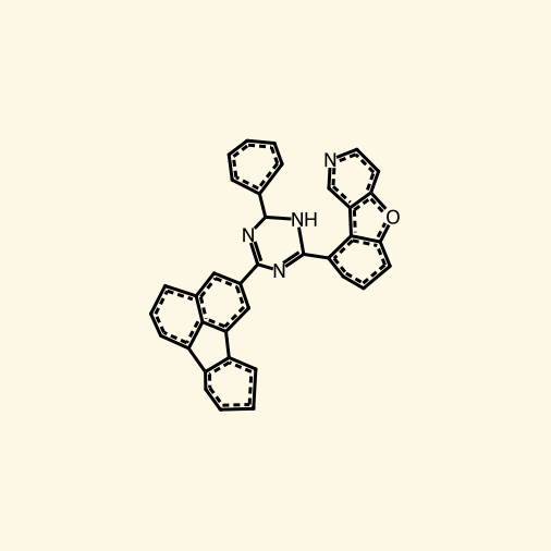 c1ccc(C2N=C(c3cc4c5c(cccc5c3)-c3ccccc3-4)N=C(c3cccc4oc5ccncc5c34)N2)cc1